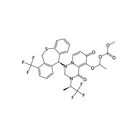 COC(=O)OC(C)Oc1c2n(ccc1=O)N([C@@H]1c3ccccc3SCc3c1cccc3C(F)(F)F)CN([C@H](C)C(F)(F)F)C2=O